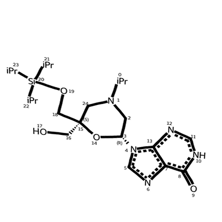 CC(C)N1C[C@H](n2cnc3c(=O)[nH]cnc32)O[C@@](CO)(CO[Si](C(C)C)(C(C)C)C(C)C)C1